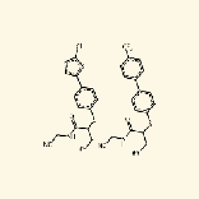 CC(C)CC(Sc1ccc(-c2ccc(C(F)(F)F)cc2)cc1)C(=O)NCC#N.CC(C)CC(Sc1ccc(-c2ccc(Cl)s2)cc1)C(=O)NCC#N